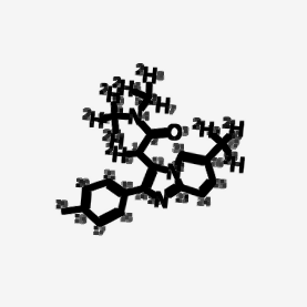 [2H]C(C(=O)N(C([2H])([2H])[2H])C([2H])([2H])[2H])c1c(-c2ccc(C)cc2)nc2ccc(C([2H])([2H])[2H])cn12